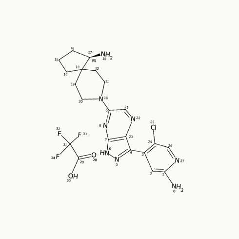 Nc1cc(-c2n[nH]c3nc(N4CCC5(CCC[C@H]5N)CC4)cnc23)c(Cl)cn1.O=C(O)C(F)(F)F